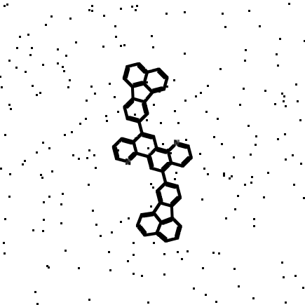 c1cc2c3c(cccc3c1)-c1cc(-c3cc4c(cc(-c5ccc6c(c5)-c5cccc7cccc-6c57)c5cccnc54)c4ncccc34)ccc1-2